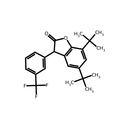 CC(C)(C)c1cc2c(c(C(C)(C)C)c1)OC(=O)C2c1cccc(C(F)(F)F)c1